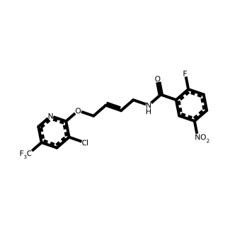 O=C(NC/C=C/COc1ncc(C(F)(F)F)cc1Cl)c1cc([N+](=O)[O-])ccc1F